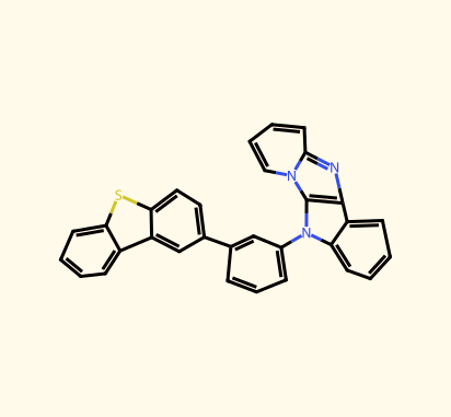 c1cc(-c2ccc3sc4ccccc4c3c2)cc(-n2c3ccccc3c3nc4ccccn4c32)c1